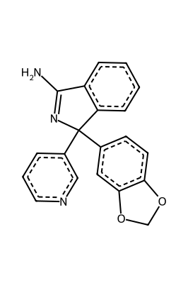 NC1=NC(c2cccnc2)(c2ccc3c(c2)OCO3)c2ccccc21